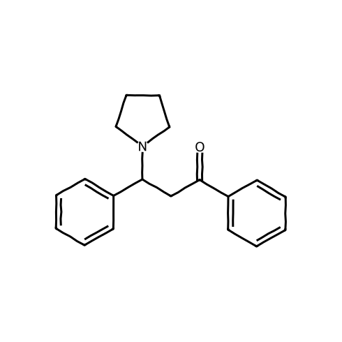 O=C(CC(c1ccccc1)N1CCCC1)c1ccccc1